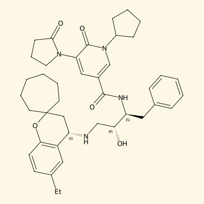 CCc1ccc2c(c1)[C@@H](NC[C@@H](O)[C@H](Cc1ccccc1)NC(=O)c1cc(N3CCCC3=O)c(=O)n(C3CCCC3)c1)CC1(CCCCCC1)O2